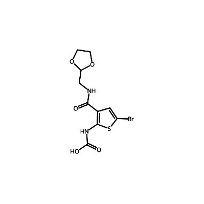 O=C(O)Nc1sc(Br)cc1C(=O)NCC1OCCO1